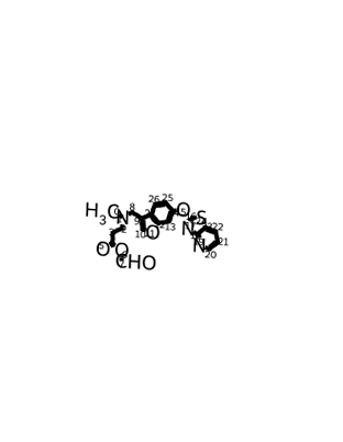 CN(CCC(=O)OC=O)Cc1coc2cc(Oc3nc4ncccc4s3)ccc12